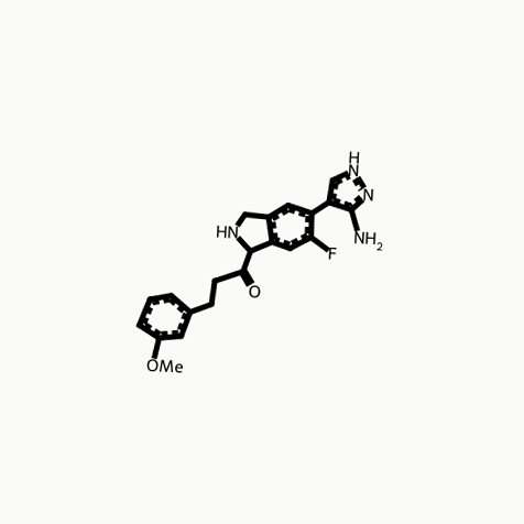 COc1cccc(CCC(=O)C2NCc3cc(-c4c[nH]nc4N)c(F)cc32)c1